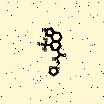 [2H]C([2H])([2H])c1cc(C(=O)NC[C@@H]2CCCO2)cc2c1-c1n[nH]cc1CC2